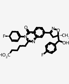 C[C@]1(C(O)c2ccc(F)cc2)CC(c2ccc3c(=O)n(C4=CC[C@H](F)C=C4)c(CCCCC(=O)O)nc3c2)=NO1